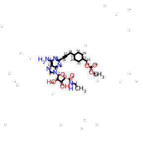 CCNC(=O)[C@H]1O[C@@H](n2cnc3c(N)nc(C#CCC4CCC(COC(=O)OC)CC4)nc32)C(O)C1O